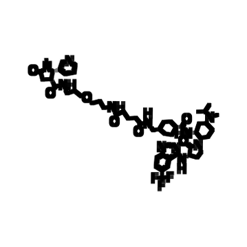 CC(C)N(C)[C@@H]1CC[C@H](N2CC[C@H](Nc3ncnc4ccc(C(F)(F)F)cc34)C2=O)[C@H](NC(=O)[C@H]2CC[C@H](CNC(=O)CCCC(=O)NCCCOCCCNC(=O)[C@H]3CC(=O)N(C)[C@@H]3c3cccnc3)CC2)C1